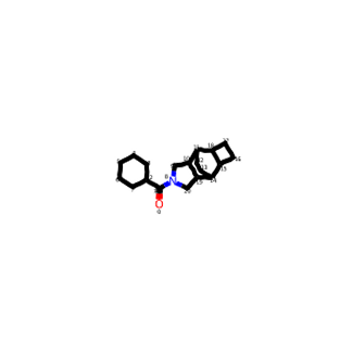 O=C(C1CCCCC1)N1CC2C3CCC(C4CCC43)C2C1